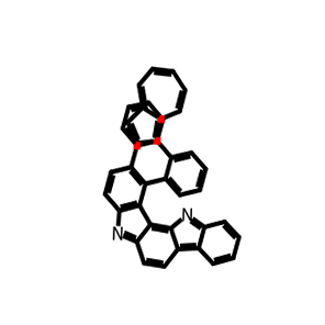 c1ccc(-c2ccc3c(c2-c2ccccc2-c2ccc4cccccc2-4)-c2c4c(ccc2=N3)=c2ccccc2=N4)cc1